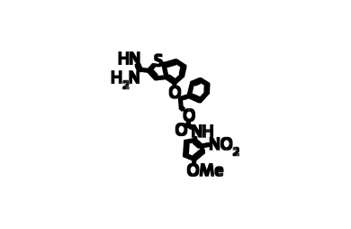 COc1ccc(NC(=O)OCC(Oc2cccc3sc(C(=N)N)cc23)c2ccccc2)c([N+](=O)[O-])c1